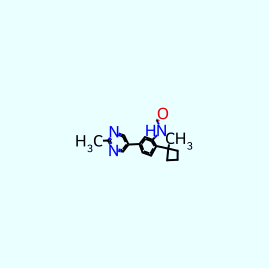 Cc1ncc(-c2ccc(C3(C)CCC3)c(NC=O)c2)cn1